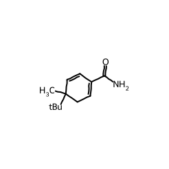 CC(C)(C)C1(C)C=CC(C(N)=O)=CC1